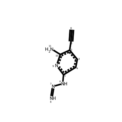 C#Cc1ccc(NN=N)nc1N